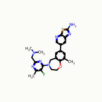 Cc1cc(-c2cnc3sc(N)nc3c2)cc2c1OCCN(c1nc(CN(C)C)nc(C)c1F)C2